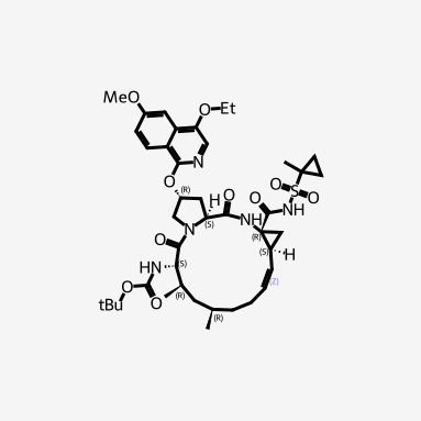 CCOc1cnc(O[C@@H]2C[C@H]3C(=O)N[C@]4(C(=O)NS(=O)(=O)C5(C)CC5)C[C@H]4/C=C\CC[C@@H](C)C[C@@H](C)[C@H](NC(=O)OC(C)(C)C)C(=O)N3C2)c2ccc(OC)cc12